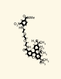 CNC(=O)c1ccc(NCCOCCOCCNC(=O)c2ccc(C(=O)O)c(C3=C4C=CC(N(C)C)C=C4[Si](C)(C)c4cc(N(C)C)ccc43)c2)c([N+](=O)[O-])c1